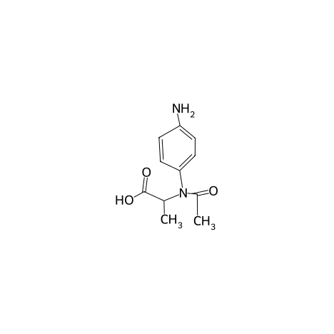 CC(=O)N(c1ccc(N)cc1)C(C)C(=O)O